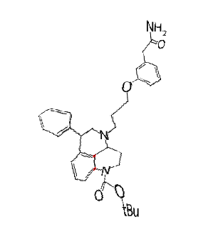 CC(C)(C)OC(=O)N1CCC(N(CCCOc2cccc(CC(N)=O)c2)CC(c2ccccc2)c2ccccc2)CC1